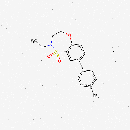 O=S1(=O)c2cc(-c3ccc(C(F)(F)F)cc3)ccc2OCCN1CC(F)(F)F